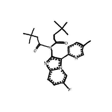 Cc1ccc(-c2c(N(C(=O)CC(C)(C)C)C(=O)CC(C)(C)C)nc3ccc(F)cn23)nc1